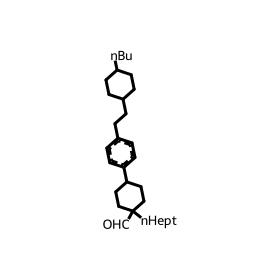 CCCCCCCC1(C=O)CCC(c2ccc(CCC3CCC(CCCC)CC3)cc2)CC1